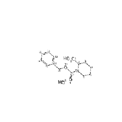 Cl.O=C(O)C1CCCCN1C(=O)OCc1ccccc1